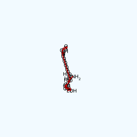 CCc1c2c(nc3ccc(O)cc13)-c1cc3c(c(=O)n1C2)COC(=O)[C@@]3(CC)CC(=O)OCc1ccc(NC(=O)C(CCCCN)NC(=O)COCC(=O)NCCOCCOCCOCCOCCOCCOCCOCCOCCn2cc(CNC(=O)[C@H]3CC[C@H](CN4C(=O)C=CC4=O)CC3)nn2)cc1